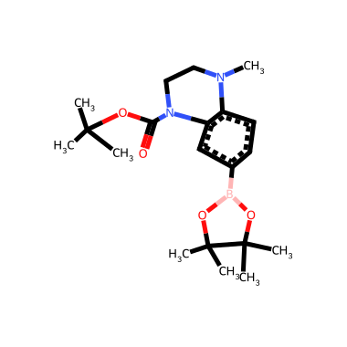 CN1CCN(C(=O)OC(C)(C)C)c2cc(B3OC(C)(C)C(C)(C)O3)ccc21